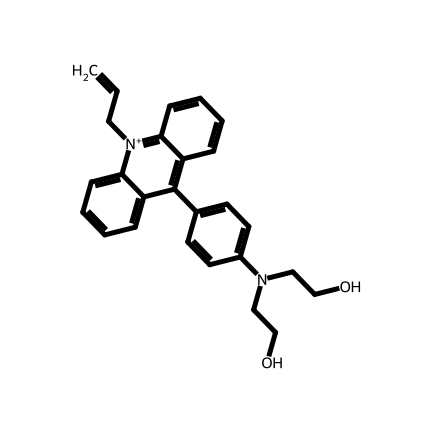 C=CC[n+]1c2ccccc2c(-c2ccc(N(CCO)CCO)cc2)c2ccccc21